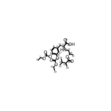 CCOC(=O)Oc1ccc(C[C@H](NCC(C)OC(=O)C(C)C(C)C)C(=O)O)cc1OC(=O)OCC